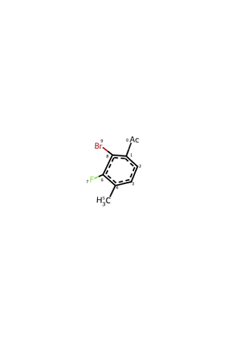 CC(=O)c1ccc(C)c(F)c1Br